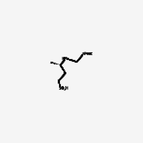 CCCCCCN[C@@H](C)CCS(=O)(=O)O